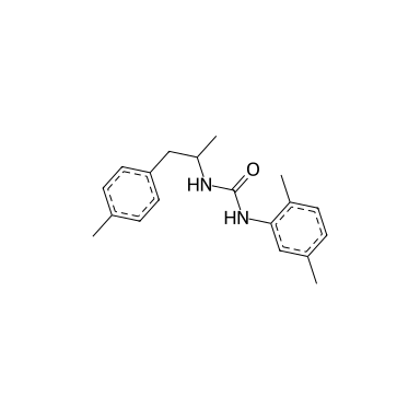 Cc1ccc(CC(C)NC(=O)Nc2cc(C)ccc2C)cc1